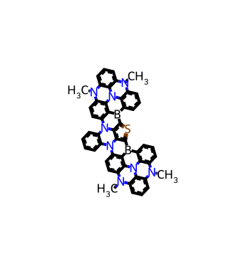 CN1c2cccc3c2N2c4c1cccc4N(C)c1ccc4c(c12)B3c1sc2c3c1N4c1ccccc1N3c1ccc3c4c1B2c1cccc2c1N4c1c(cccc1N3C)N2C